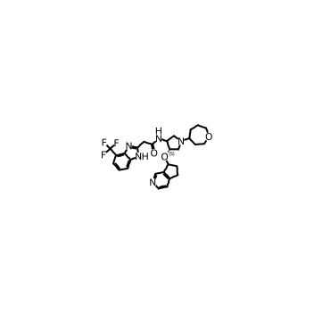 O=C(Cc1nc2c(C(F)(F)F)cccc2[nH]1)NC1CN(C2CCCOCC2)C[C@@H]1OC1CCc2ccncc21